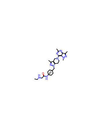 CCNCC(=O)NC12CCC(Cn3nc(C)c4c3CCN(c3nc(C)nc5c(C)nn(C)c35)C4)(CC1)CC2